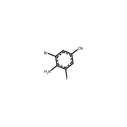 N#Cc1cc(F)c(N)c(Br)c1